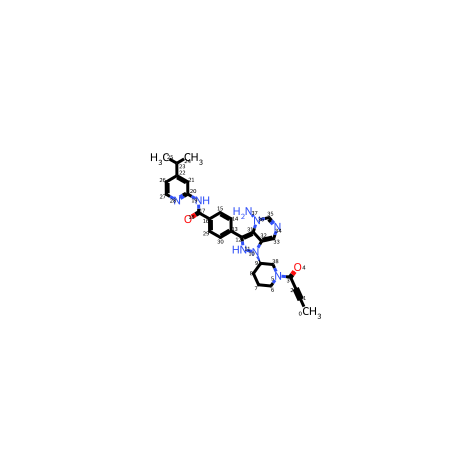 CC#CC(=O)N1CCC[C@@H](N2NC(c3ccc(C(=O)Nc4cc(C(C)C)ccn4)cc3)=C3C2=CN=CN3N)C1